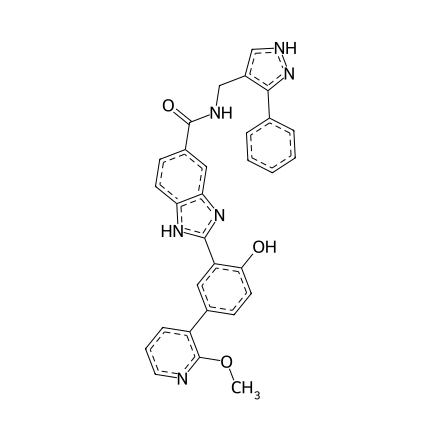 COc1ncccc1-c1ccc(O)c(-c2nc3cc(C(=O)NCc4c[nH]nc4-c4ccccc4)ccc3[nH]2)c1